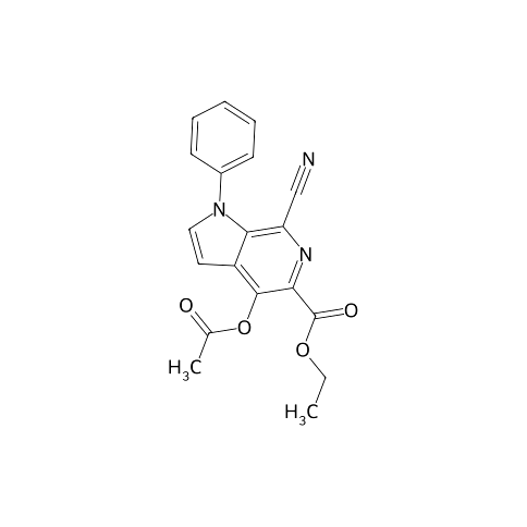 CCOC(=O)c1nc(C#N)c2c(ccn2-c2ccccc2)c1OC(C)=O